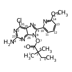 CCC(C)(C)C(=O)On1c(-c2cccc(OC)n2)nc2c(Cl)nc(N)nc21